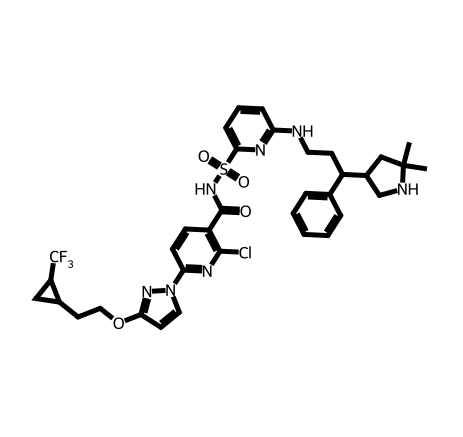 CC1(C)CC(C(CCNc2cccc(S(=O)(=O)NC(=O)c3ccc(-n4ccc(OCCC5CC5C(F)(F)F)n4)nc3Cl)n2)c2ccccc2)CN1